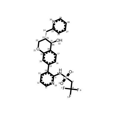 O=S(=O)(CC(F)(F)F)Nc1ncccc1-c1ccc2c(c1)OC[C@H](Cc1ccccn1)[C@H]2O